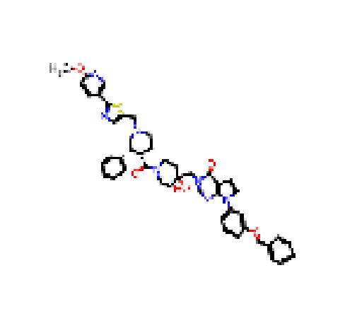 COc1ccc(-c2ncc(CN3CC[C@@H](C(=O)N4CCC(O)(Cn5cnc6c(ccn6-c6cccc(OCc7ccccc7)c6)c5=O)CC4)[C@H](c4ccccc4)C3)s2)cn1